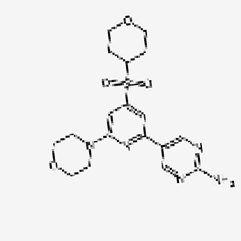 Nc1ncc(-c2cc(S(=O)(=O)C3CCOCC3)cc(N3CCOCC3)n2)cn1